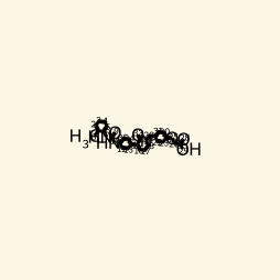 Cc1ccccc1NC(=O)Nc1ccc(-c2cccn(Cc3ccc(OCC(=O)O)cc3)c2=O)cc1